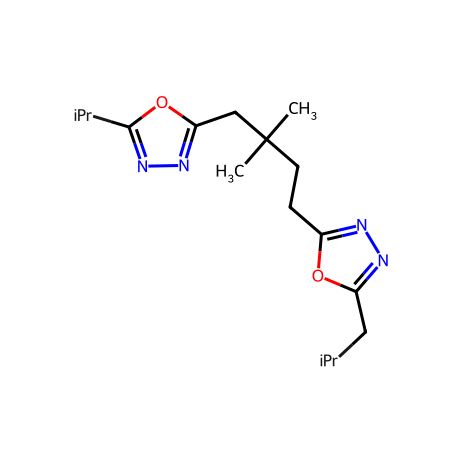 CC(C)Cc1nnc(CCC(C)(C)Cc2nnc(C(C)C)o2)o1